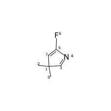 CC1(C)C=NC(F)=C1